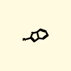 CC(C)C1=CC2C=CC=CC2S1